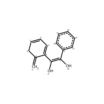 C=C1CC=CC=C1/C(O)=C(/O)c1ccccc1